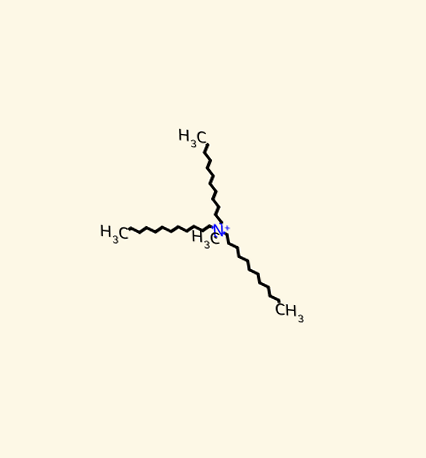 CCCCCCCCCCCC[N+](C)(CCCCCCCCCCCC)CCCCCCCCCCCC